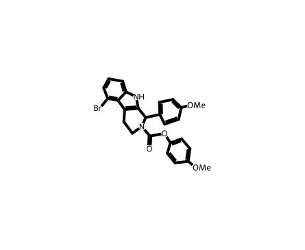 COc1ccc(OC(=O)N2CCc3c([nH]c4cccc(Br)c34)C2c2ccc(OC)cc2)cc1